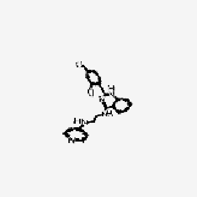 Clc1ccc(C2N=C(NCCNc3ccncc3)c3ccccc3N2)c(Cl)c1